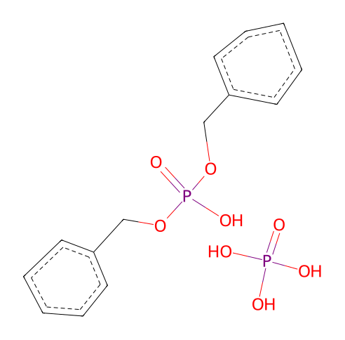 O=P(O)(O)O.O=P(O)(OCc1ccccc1)OCc1ccccc1